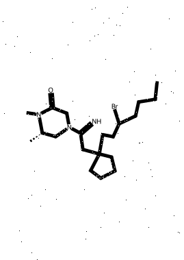 CCCCC(Br)CCC1(CC(=N)N2CC(=O)N(C)[C@@H](C)C2)CCCC1